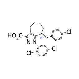 O=C(O)c1nn(-c2cc(Cl)ccc2Cl)c2c1CCCC/C2=C\c1ccc(Cl)cc1